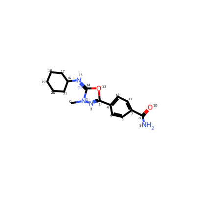 Cn1nc(-c2ccc(C(N)=O)cc2)o/c1=N/C1CCCCC1